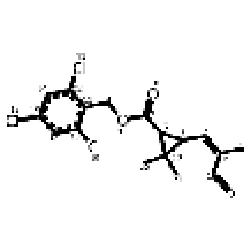 C=CC(C)=CC1C(C(=O)OCc2c(Cl)cc(Cl)cc2Cl)C1(C)C